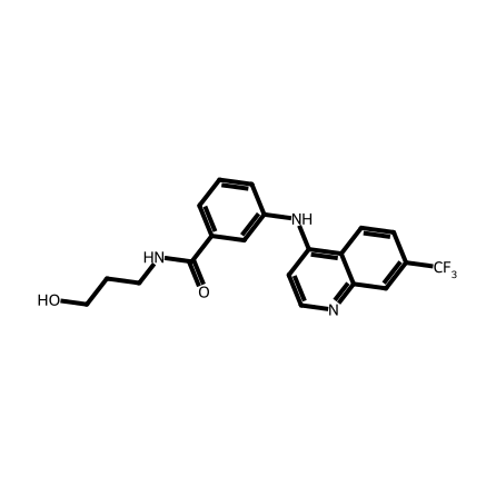 O=C(NCCCO)c1cccc(Nc2ccnc3cc(C(F)(F)F)ccc23)c1